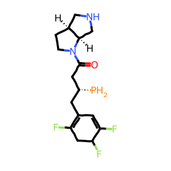 O=C(C[C@H](P)CC1=C(F)CC(F)C(F)=C1)N1CC[C@H]2CNC[C@H]21